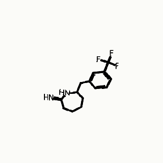 N=C1CCCCC(Cc2cccc(C(F)(F)F)c2)N1